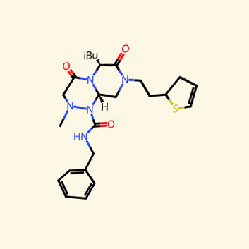 CCC(C)[C@H]1C(=O)N(CCC2CC=CS2)C[C@H]2N1C(=O)CN(C)N2C(=O)NCc1ccccc1